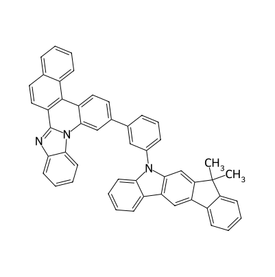 CC1(C)c2ccccc2-c2cc3c4ccccc4n(-c4cccc(-c5ccc6c7c8ccccc8ccc7c7nc8ccccc8n7c6c5)c4)c3cc21